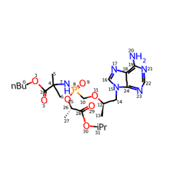 CCCCOC(=O)C(C)(C)NP(=O)(CO[C@H](C)Cn1cnc2c(N)ncnc21)O[C@@H](C)C(=O)OC(C)C